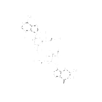 CO[C@H]1[C@H]2OP(=O)(O)OC[C@H]3C[C@@](C)(n4cnc5c(N)ncnc54)[C@H](O)[C@@H]3O[P@@](=O)(S)OC[C@H]1O[C@H]2c1snc2c(=O)[nH]c(N)nc12